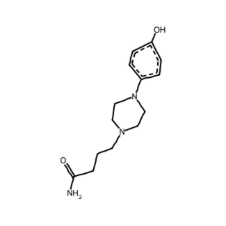 NC(=O)CCCN1CCN(c2ccc(O)cc2)CC1